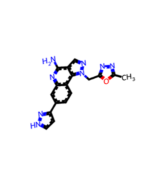 Cc1nnc(Cn2ncc3c(N)nc4cc(-c5cc[nH]n5)ccc4c32)o1